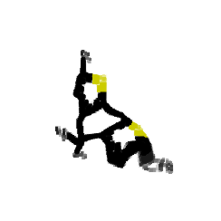 Cc1cc2c(s1)-c1sc(C=O)cc1C2(C)C